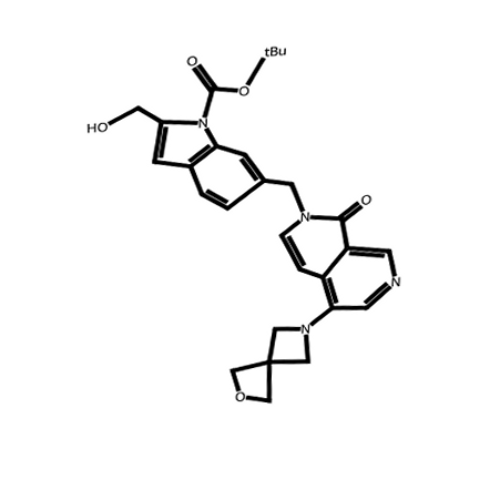 CC(C)(C)OC(=O)n1c(CO)cc2ccc(Cn3ccc4c(N5CC6(COC6)C5)cncc4c3=O)cc21